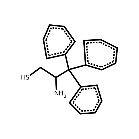 NC(CS)C(c1ccccc1)(c1ccccc1)c1ccccc1